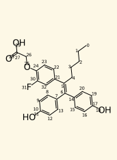 CCCCCC(=C(c1ccc(O)cc1)c1ccc(O)cc1)c1ccc(OCC(=O)O)c(F)c1